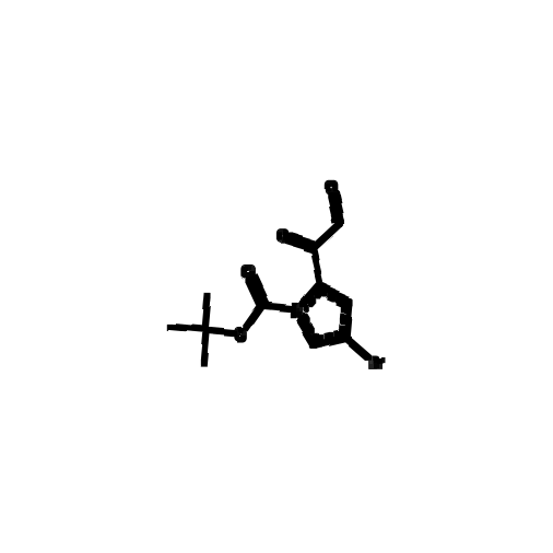 CC(C)(C)OC(=O)n1cc(Br)cc1C(=O)C=O